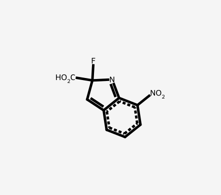 O=C(O)C1(F)C=c2cccc([N+](=O)[O-])c2=N1